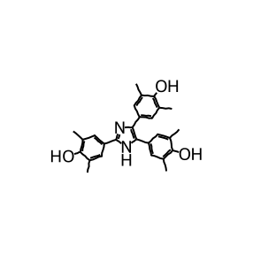 Cc1cc(-c2nc(-c3cc(C)c(O)c(C)c3)c(-c3cc(C)c(O)c(C)c3)[nH]2)cc(C)c1O